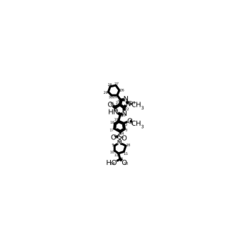 COc1cc(S(=O)(=O)N2CCC(C(=O)O)CC2)ccc1-c1nc2c(c(C3CCCCC3)nn2C)c(=O)[nH]1